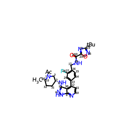 CC(=O)N1C[C@H](Nc2n[nH]c3nccc(-c4ccc(CNC(=O)c5nc(C(C)(C)C)no5)c(F)c4)c23)CC[C@@H]1C